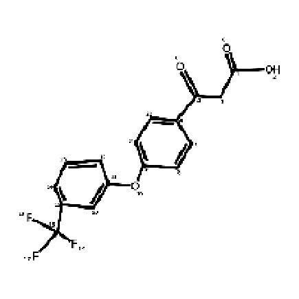 O=C(O)CC(=O)c1ccc(Oc2cccc(C(F)(F)F)c2)cc1